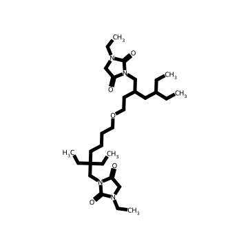 CCC(CC)CC(CCOCCCCC(CC)(CC)CN1C(=O)CN(CC)C1=O)CN1C(=O)CN(CC)C1=O